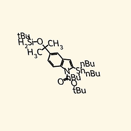 CCC[CH2][Sn]([CH2]CCC)([CH2]CCC)[c]1cc2cc(C(C)(C)O[SiH2]C(C)(C)C)ccc2n1C(=O)OC(C)(C)C